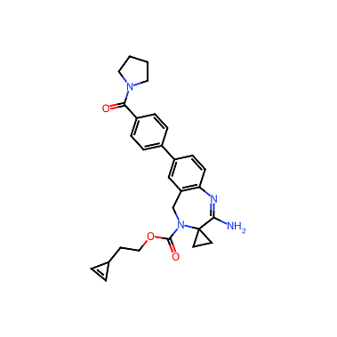 NC1=Nc2ccc(-c3ccc(C(=O)N4CCCC4)cc3)cc2CN(C(=O)OCCC2C=C2)C12CC2